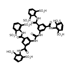 O=C(Nc1cc(C(=O)Nc2c(S(=O)(=O)O)cccc2S(=O)(=O)O)cc(C(=O)Nc2c(S(=O)(=O)O)cccc2S(=O)(=O)O)c1)Nc1cc(C(=O)Nc2c(S(=O)(=O)O)cccc2S(=O)(=O)O)cc(C(=O)Nc2c(S(=O)(=O)O)cccc2S(=O)(=O)O)c1